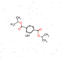 CC(C)OC(=O)c1ccc(C(=O)OC(C)C)cc1.[LiH]